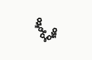 O=C(c1cccc(C(=O)N2CCC(Nc3nc4ccccc4s3)CC2)c1)N1CCC(Nc2nc3ccccc3s2)CC1